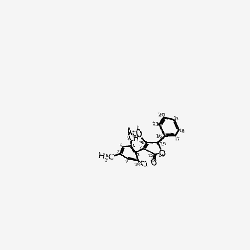 CC(=O)OC1=C(c2c(C)cc(C)cc2Cl)C(=O)OC1c1ccccc1